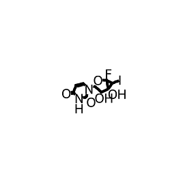 O=c1ccn([C@@H]2O[C@]3(F)C(I)[C@]3(O)[C@H]2O)c(=O)[nH]1